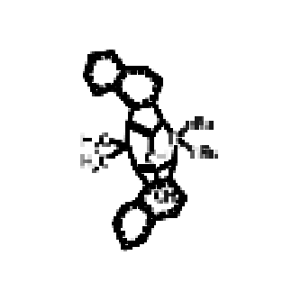 CCC[CH2][Ti]1([CH2]CCC)[CH]2C(C)=C(c3c2ccc2ccccc32)C(C)(C)C2=C(C)[CH]1c1ccc3ccccc3c12